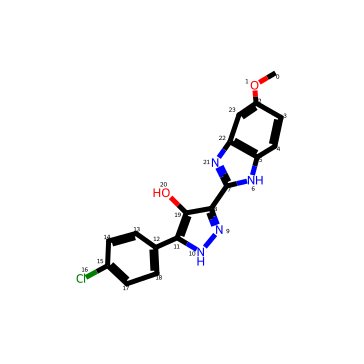 COc1ccc2[nH]c(-c3n[nH]c(-c4ccc(Cl)cc4)c3O)nc2c1